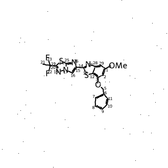 COc1cc(OCc2ccccc2)c2sc(-c3cn4nc(C(C)(F)F)sc4n3)nc2c1